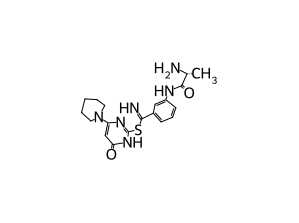 C[C@@H](N)C(=O)Nc1cccc(C(=N)Sc2nc(N3CCCCC3)cc(=O)[nH]2)c1